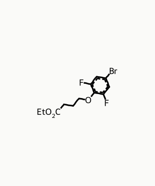 CCOC(=O)CCCOc1c(F)cc(Br)cc1F